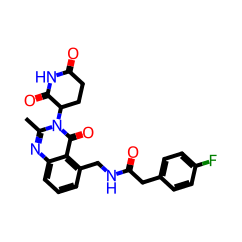 Cc1nc2cccc(CNC(=O)Cc3ccc(F)cc3)c2c(=O)n1C1CCC(=O)NC1=O